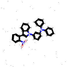 O=[N+]([O-])c1ccccc1-c1cn(-c2cccc(N(c3ccccc3)c3ccccc3)c2)c2ccccc12